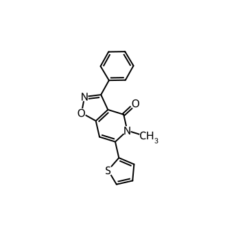 Cn1c(-c2cccs2)cc2onc(-c3ccccc3)c2c1=O